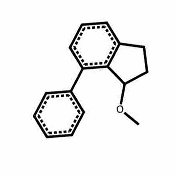 COC1CCc2cccc(-c3ccccc3)c21